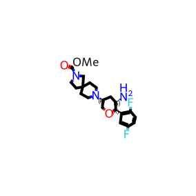 COC(=O)N1CCC2(CCN([C@H]3CO[C@H](c4cc(F)ccc4F)[C@@H](N)C3)CC2)C1